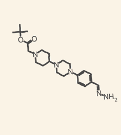 CC(C)(C)OC(=O)CN1CCC(N2CCN(c3ccc(C=NN)cc3)CC2)CC1